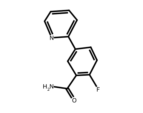 NC(=O)c1cc(-c2ccccn2)ccc1F